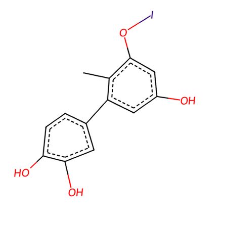 Cc1c(OI)cc(O)cc1-c1ccc(O)c(O)c1